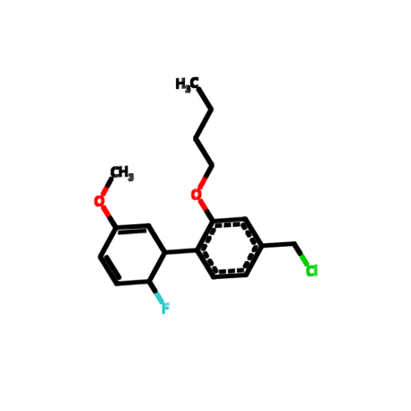 CCCCOc1cc(CCl)ccc1C1C=C(OC)C=CC1F